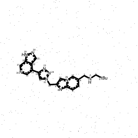 CC(C)(C)CNCc1ccc2nc(Cn3cc(-c4cncc5[nH]ncc45)nn3)cn2c1